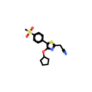 CS(=O)(=O)c1ccc(-c2sc(CC#N)nc2OC2CCCC2)cc1